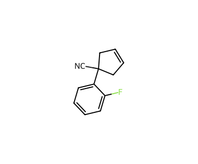 N#CC1(c2ccccc2F)CC=CC1